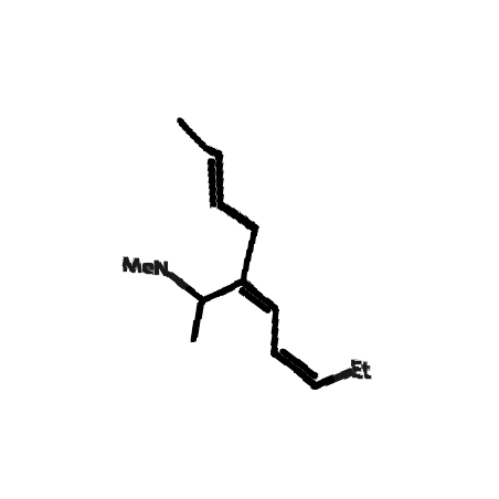 CC=CC/C(=C/C=C\CC)C(C)NC